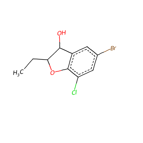 CCC1Oc2c(Cl)cc(Br)cc2C1O